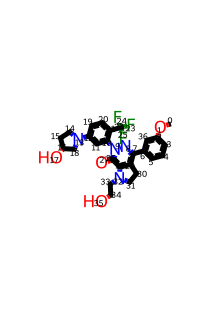 COc1cccc(-c2nn(-c3cc(N4CCC(O)C4)ccc3C(F)(F)F)c(=O)c3c2CCN3CCO)c1